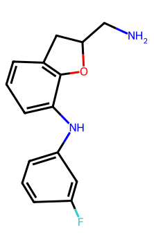 NCC1Cc2cccc(Nc3cccc(F)c3)c2O1